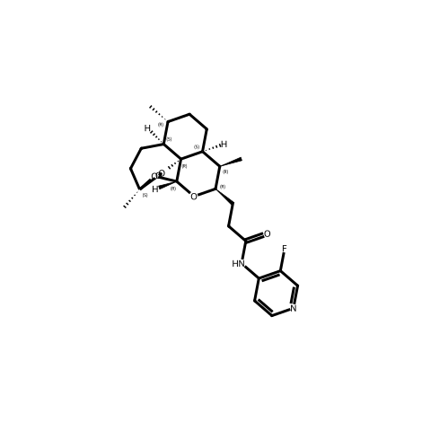 C[C@H]1[C@@H](CCC(=O)Nc2ccncc2F)O[C@@H]2O[C@]3(C)CC[C@H]4[C@H](C)CC[C@@H]1[C@@]24OO3